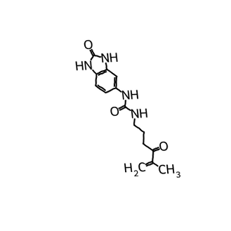 C=C(C)C(=O)CCCNC(=O)Nc1ccc2[nH]c(=O)[nH]c2c1